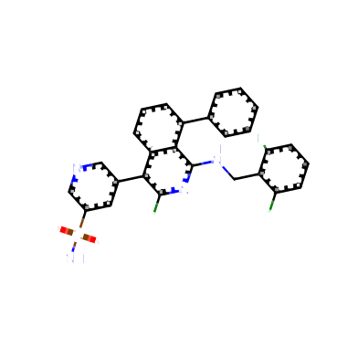 NS(=O)(=O)c1cncc(-c2c(Cl)nc(NCc3c(F)cccc3F)c3c(-c4ccccc4)cccc23)c1